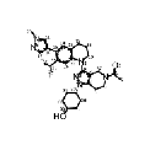 CC(=O)N1CCc2c(c(N3CCCc4cc(-c5cnn(C)c5)c(C(F)F)cc43)nn2[C@H]2CC[C@H](O)CC2)C1